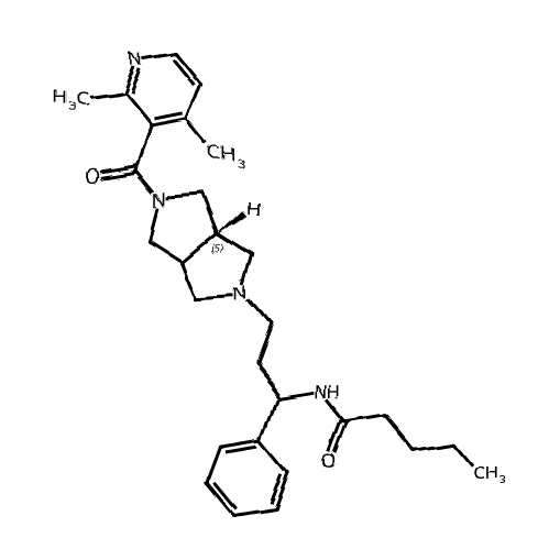 CCCCC(=O)NC(CCN1CC2CN(C(=O)c3c(C)ccnc3C)C[C@@H]2C1)c1ccccc1